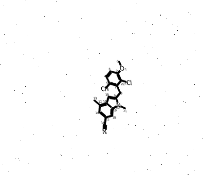 COc1ccc(Cl)c(Cc2cc3c(C)cc(C#N)cc3n2C)c1Cl